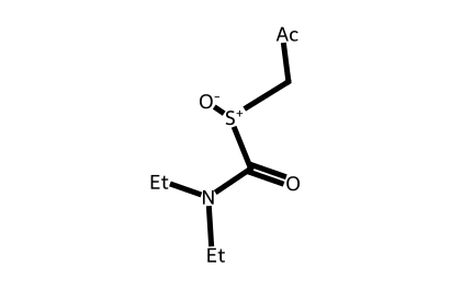 CCN(CC)C(=O)[S+]([O-])CC(C)=O